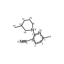 Cc1ccc(C#N)c(N2CCCC(C)C2)n1